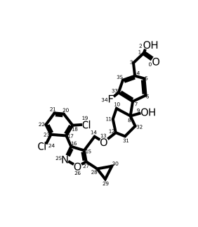 O=C(O)Cc1ccc(C2(O)CCC(OCc3c(-c4c(Cl)cccc4Cl)noc3C3CC3)CC2)c(F)c1